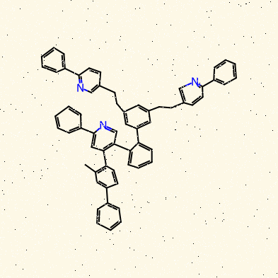 Cc1cc(-c2ccccc2)ccc1-c1cc(-c2ccccc2)ncc1-c1ccccc1-c1cc(CCc2ccc(-c3ccccc3)nc2)cc(CCc2ccc(-c3ccccc3)nc2)c1